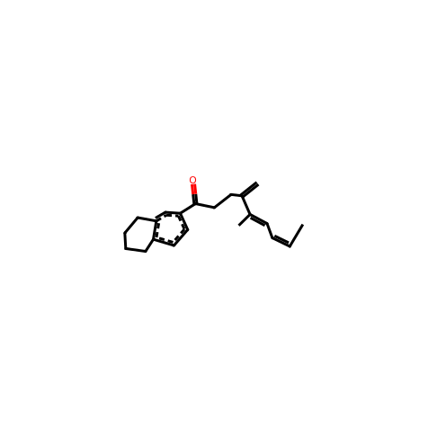 C=C(CCC(=O)c1ccc2c(c1)CCCC2)/C(C)=C/C=C\C